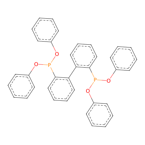 c1ccc(OP(Oc2ccccc2)c2ccccc2-c2ccccc2P(Oc2ccccc2)Oc2ccccc2)cc1